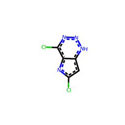 Clc1cc2[nH]nnc(Cl)c-2n1